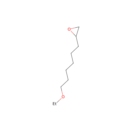 CCOCCCCCCC1CO1